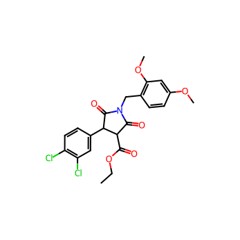 CCOC(=O)C1C(=O)N(Cc2ccc(OC)cc2OC)C(=O)C1c1ccc(Cl)c(Cl)c1